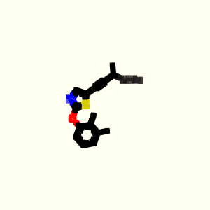 CC(=O)NC(C)C#Cc1cnc(Oc2cccc(C)c2C)s1